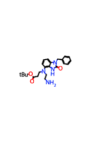 CC(C)(C)OC(=O)CCN(CCN)c1cccc2c1[nH]c(=O)n2Cc1ccccc1